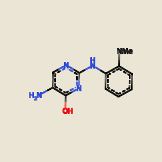 CNc1ccccc1Nc1ncc(N)c(O)n1